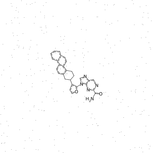 NC(=O)c1ncc2ncn(-c3occc3C3CCc4c(ccc5c4ccc4ccccc45)C3)c2n1